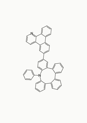 c1ccc(-n2c3ccccc3c3ccccc3c3ccccc3c3cc(-c4ccc5c6ccccc6c6ncccc6c5c4)ccc32)cc1